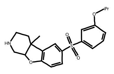 CC(C)Oc1cccc(S(=O)(=O)c2ccc3c(c2)C2(C)CCNCC2O3)c1